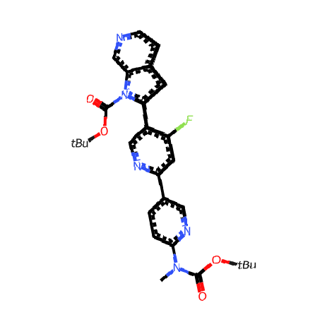 CN(C(=O)OC(C)(C)C)c1ccc(-c2cc(F)c(-c3cc4ccncc4n3C(=O)OC(C)(C)C)cn2)cn1